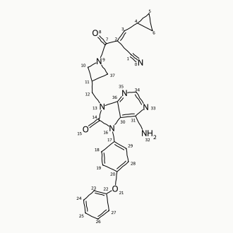 N#CC(=CC1CC1)C(=O)N1CC(Cn2c(=O)n(-c3ccc(Oc4ccccc4)cc3)c3c(N)ncnc32)C1